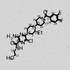 CC[C@H]1CN(c2nc(N)c(C(=O)NCCO)nc2Cl)CCN1C1CCN(C(=O)c2ccc(F)c(F)c2)CC1